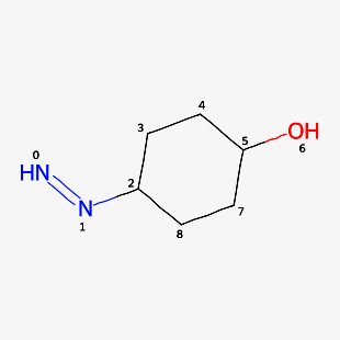 N=NC1CCC(O)CC1